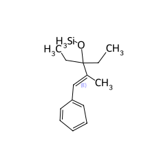 CCC(CC)(O[SiH3])/C(C)=C/c1ccccc1